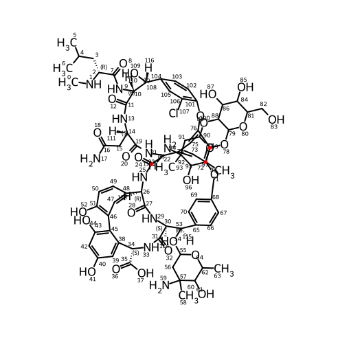 CN[C@H](CC(C)C)C(=O)N[C@H]1C(=O)N[C@@H](CC(N)=O)C(=O)N[C@H]2C(=O)N[C@H]3C(=O)N[C@H](C(=O)N[C@H](C(=O)O)c4cc(O)cc(O)c4-c4cc3ccc4O)[C@H](OC3CC(C)(N)C(O)C(C)O3)c3ccc(cc3)Oc3cc2cc(c3OC2OC(CO)C(O)C(O)C2OC2CC(C)(N)C(O)C(C)O2)Oc2ccc(cc2Cl)[C@H]1O